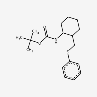 CC(C)(C)OC(=O)NC1CCCCC1CSc1ccccc1